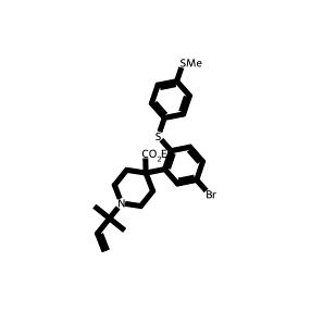 C=CC(C)(C)N1CCC(C(=O)OCC)(c2cc(Br)ccc2Sc2ccc(SC)cc2)CC1